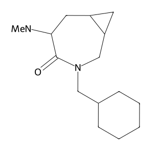 CNC1CC2CC2CN(CC2CCCCC2)C1=O